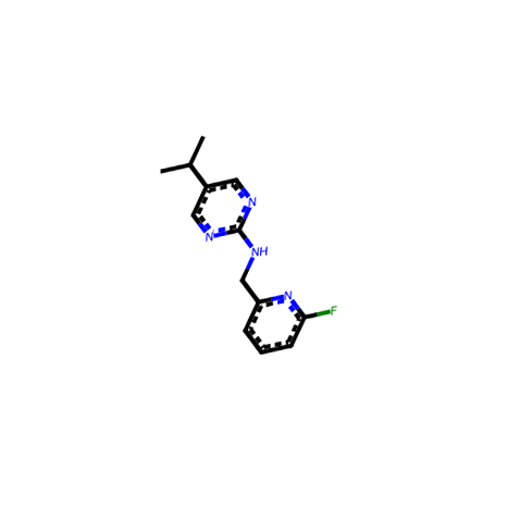 CC(C)c1cnc(NCc2cccc(F)n2)nc1